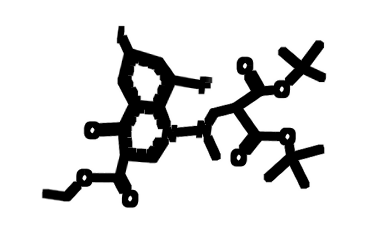 CCOC(=O)c1cn(N(C)CC(C(=O)OC(C)(C)C)C(=O)OC(C)(C)C)c2c(F)cc(I)cc2c1=O